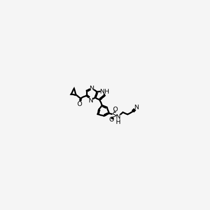 N#CCCNS(=O)(=O)c1cccc(-c2c[nH]c3ncc(C(=O)C4CC4)nc23)c1